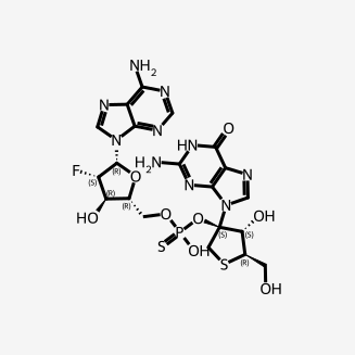 Nc1nc2c(ncn2[C@@]2(OP(O)(=S)OC[C@H]3O[C@@H](n4cnc5c(N)ncnc54)[C@@H](F)[C@@H]3O)CS[C@H](CO)[C@H]2O)c(=O)[nH]1